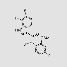 COc1cc(Cl)ccc1C(Br)C(=O)c1c[nH]c2c(F)c(F)ccc12